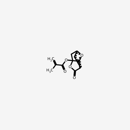 C=C(C)C(=O)OC12Cc3cc(c1o3)C(=O)O2